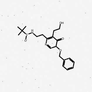 CC(C)(C)[S+]([O-])NCCC1=C(CCO)C(=O)C(OCc2ccccc2)C=N1